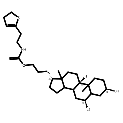 C=C(NCCC1=CCCS1)OCCC[C@H]1CCC2C3C[C@H](CC)C4C[C@H](O)CCC4(C)[C@H]3CCC21C